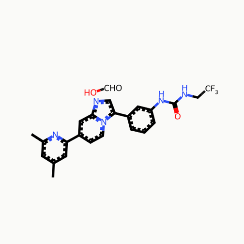 Cc1cc(C)nc(-c2ccn3c(-c4cccc(NC(=O)NCC(F)(F)F)c4)cnc3c2)c1.O=CO